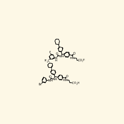 O=C(O)CCNC(=O)c1ccc(C(NC(=O)Nc2cc(F)cc(C(F)(F)F)c2)c2ccc(C3CCCCC3)cc2)cc1.O=C(O)CCNC(=O)c1ccc(C(NC(=O)Nc2cccc(Br)c2)c2ccc(C3=CCCCC3)cc2)cc1